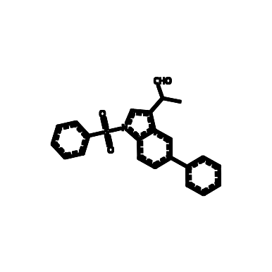 CC(C=O)c1cn(S(=O)(=O)c2ccccc2)c2ccc(-c3ccccc3)cc12